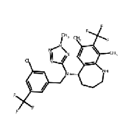 Cc1cc2c(c(C)c1C(F)(F)F)NCCC[C@@H]2N(Cc1cc(Cl)cc(C(F)(F)F)c1)c1nnn(C)n1